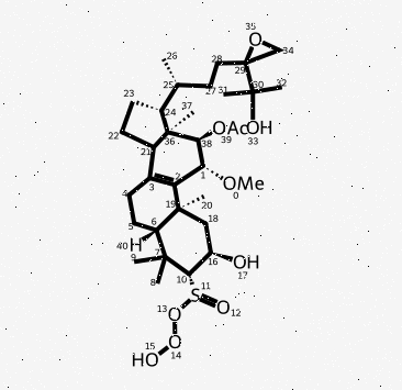 CO[C@@H]1C2=C(CC[C@H]3C(C)(C)[C@@H](S(=O)OOO)[C@H](O)C[C@]23C)C2CC[C@H]([C@H](C)CCC3(C(C)(C)O)CO3)[C@@]2(C)[C@H]1OC(C)=O